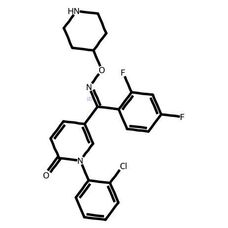 O=c1ccc(/C(=N/OC2CCNCC2)c2ccc(F)cc2F)cn1-c1ccccc1Cl